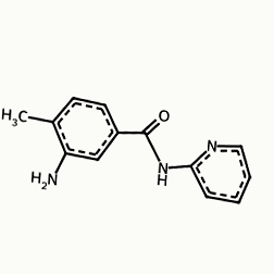 Cc1ccc(C(=O)Nc2ccccn2)cc1N